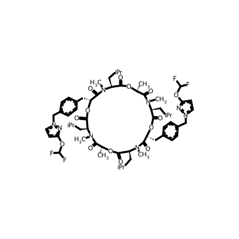 CC(C)C[C@H]1C(=O)O[C@H](Cc2ccc(Cn3ccc(OC(F)F)n3)cc2)C(=O)N(C)[C@@H](CC(C)C)C(=O)O[C@H](C)C(=O)N(C)[C@@H](CC(C)C)C(=O)O[C@H](Cc2ccc(Cn3ccc(OC(F)F)n3)cc2)C(=O)N(C)[C@@H](CC(C)C)C(=O)O[C@H](C)C(=O)N1C